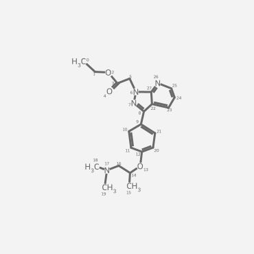 CCOC(=O)Cn1nc(-c2ccc(OC(C)CN(C)C)cc2)c2cccnc21